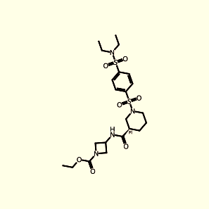 CCOC(=O)N1CC(NC(=O)[C@@H]2CCCN(S(=O)(=O)c3ccc(S(=O)(=O)N(CC)CC)cc3)C2)C1